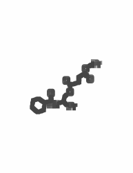 CC(C)OC(=O)/C=C/C(=O)OCC(NC(=O)C1CCCCC1)C(C)C